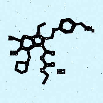 CCOC(=O)OC(=O)c1c(CSc2ccc(CN)cc2)n(CC)c2cc(Br)c(O)c(CN3CCCC3)c12.Cl